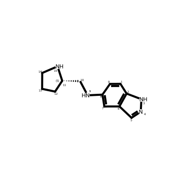 c1cc2[nH]ncc2cc1NC[C@@H]1CCCN1